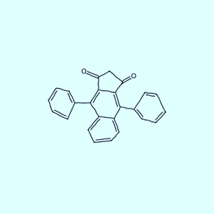 O=C1CC(=O)c2c1c(-c1ccccc1)c1ccccc1c2-c1ccccc1